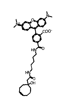 CN(C)c1ccc2c(-c3ccc(C(=O)NCCCCCNC(=O)CC4(O)CCC=CCCC4)cc3C(=O)[O-])c3ccc(=[N+](C)C)cc-3oc2c1